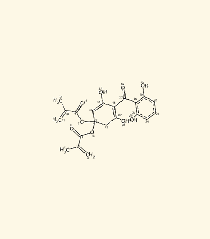 C=C(C)C(=O)OC1(OC(=O)C(=C)C)C=C(O)C(C(=O)c2c(O)cccc2O)=C(O)C1